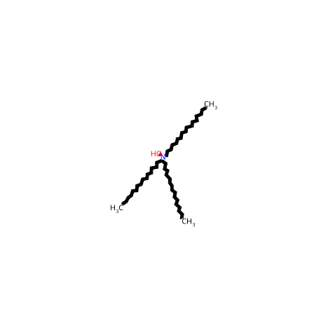 CCCCCCCCCCCCCCCCCCN(O)C(CCCCCCCCCCCCCCCC)CCCCCCCCCCCCCCCCC